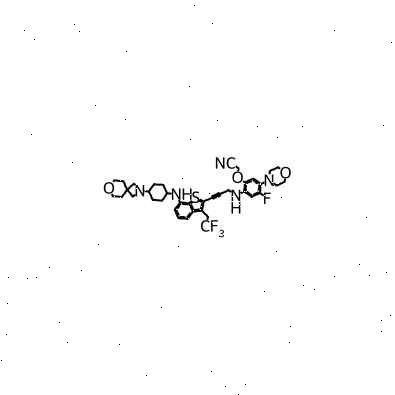 N#CCOc1cc(N2CCOCC2)c(F)cc1NCC#Cc1sc2c(NC3CCC(N4CC5(CCOCC5)C4)CC3)cccc2c1CC(F)(F)F